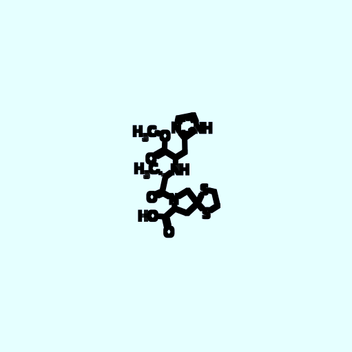 COC(=O)C(Cc1ncc[nH]1)N[C@@H](C)C(=O)N1CC2(CC1C(=O)O)SCCS2